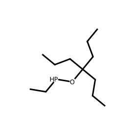 CCCC(CCC)(CCC)OPCC